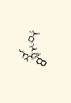 CCOC(=O)CN(C(=O)[C@H](CC(=O)NC[C@@H]1CCCN(C(=N)N)C1)NS(=O)(=O)c1ccc2ccccc2c1)C(C)C